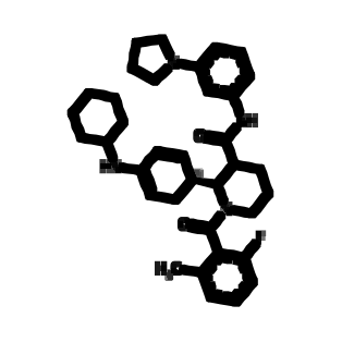 Cc1cccc(F)c1C(=O)N1CCCC(C(=O)Nc2cccc(N3CCCC3)c2)C1[C@@H]1C=CC(NC2CCCCC2)=CC1